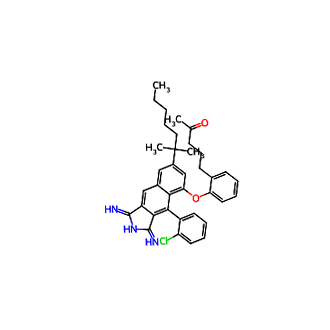 CCCCCC(C)(C)c1cc(Oc2ccccc2CCCC(C)=O)c2c(-c3ccccc3Cl)c3c(cc2c1)C(=N)NC3=N